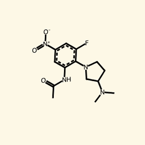 CC(=O)Nc1cc([N+](=O)[O-])cc(F)c1N1CCC(N(C)C)C1